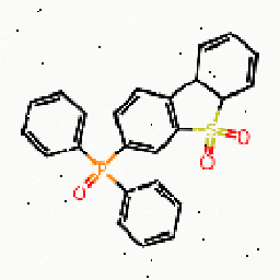 O=P(c1ccccc1)(c1ccccc1)c1ccc2c(c1)S(=O)(=O)C1C=CC=CC21